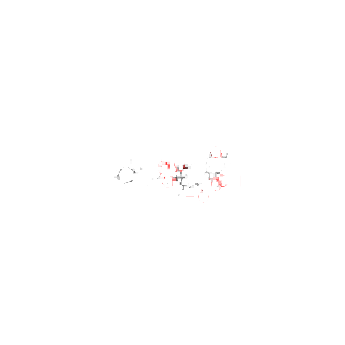 CC1=C2[C@@H](O)C(=O)[C@@]3(C)C(COC(C)C[C@@H]3O)C[C@](O)(C[C@@H]1OC(=O)CCc1ccccc1)C2(C)C